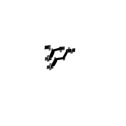 C=CCC(=O)O.C=CO.Cl